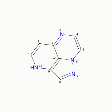 C1=Cc2nccn3ncc(c23)N1